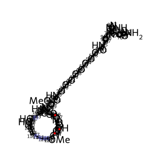 CO[C@H]1C[C@@H]2CC[C@@H](C)[C@@](O)(O2)C(=O)C(=O)N2CCCC[C@H]2C(=O)O[C@H]([C@H](N)C[C@@H]2CC[C@@H](OC(=O)NCCOCCOCCOCCOCCOCCOCCOCCOCCC(=O)NCc3ccc(Cn4nc(-c5ccc6oc(N)nc6c5)c5c(N)ncnc54)cc3)[C@H](OC)C2)CC(N=[N+]=[N-])[C@H](C)/C=C(\C)[C@@H](O)[C@@H](O)C(=O)[C@H](C)C[C@H](C)/C=C/C=C/C=C/1C